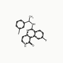 CC(Nc1nc2cc[nH]c(=O)c2c2cc(F)ccc12)c1cccc(F)c1